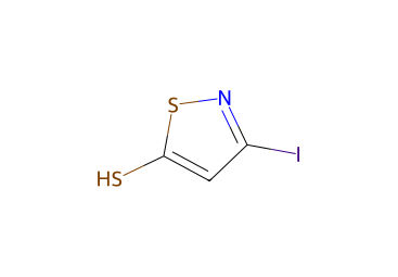 Sc1cc(I)ns1